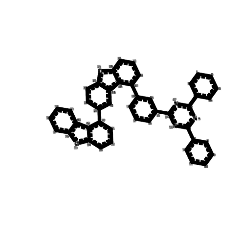 c1ccc(-c2nc(-c3ccccc3)nc(-c3cccc(-c4cccc5oc6ccc(-c7cccc8oc9ccccc9c78)cc6c45)c3)n2)cc1